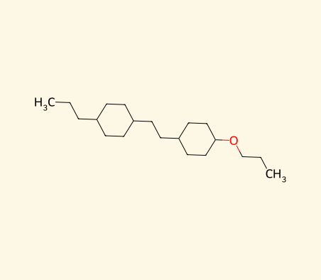 CCCOC1CCC(CCC2CCC(CCC)CC2)CC1